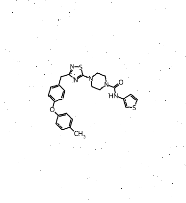 Cc1ccc(Oc2ccc(Cc3nsc(N4CCN(C(=O)Nc5ccsc5)CC4)n3)cc2)cc1